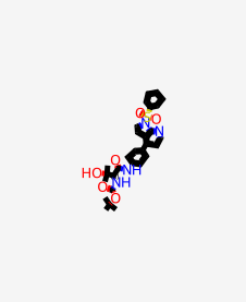 CC(C)(C)OC(=O)N[C@@H](C(=O)Nc1ccc(-c2ccnc3c2ccn3S(=O)(=O)c2ccccc2)cc1)C(C)(C)O